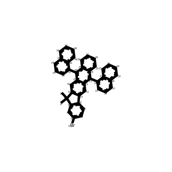 CC1(C)c2cc(Br)ccc2-c2cc3c(-c4cccc5ccccc45)c4ccccc4c(-c4cccc5ccccc45)c3cc21